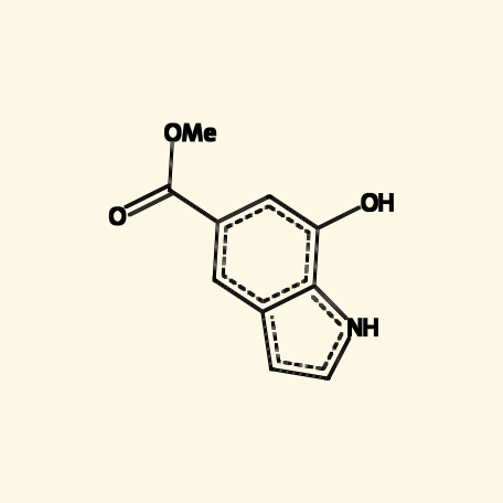 COC(=O)c1cc(O)c2[nH]ccc2c1